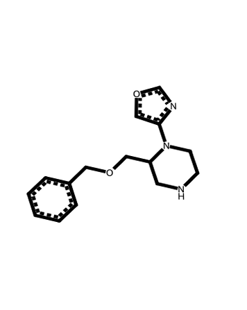 c1ccc(COCC2CNCCN2c2cocn2)cc1